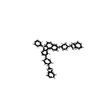 c1ccc(-n2c3ccc(-c4ccc(-c5nc6ccccc6s5)cc4)cc3c3c4ccc(-c5ccc(-c6nc7ccccc7s6)cc5)cc4ccc32)cc1